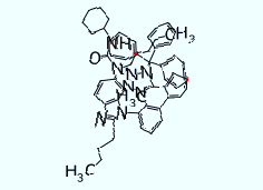 CCCCCN(C(=O)NC1CCCCC1)c1ccc2nc(CCCC)n(-c3cccc(-c4ccccc4-c4nnnn4C(c4ccccc4)(c4ccccc4)c4ccccc4)c3C)c2c1